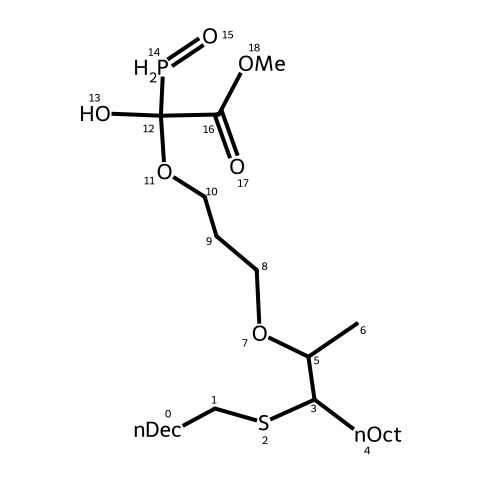 CCCCCCCCCCCSC(CCCCCCCC)C(C)OCCCOC(O)([PH2]=O)C(=O)OC